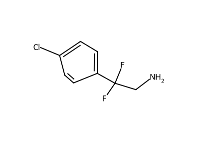 NCC(F)(F)c1ccc(Cl)cc1